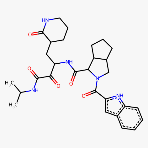 CC(C)NC(=O)C(=O)C(CC1CCCNC1=O)NC(=O)C1C2CCCC2CN1C(=O)c1cc2ccccc2[nH]1